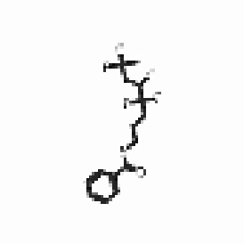 O=C(SCCCC(F)(F)C(F)CC(F)(F)F)c1ccccc1